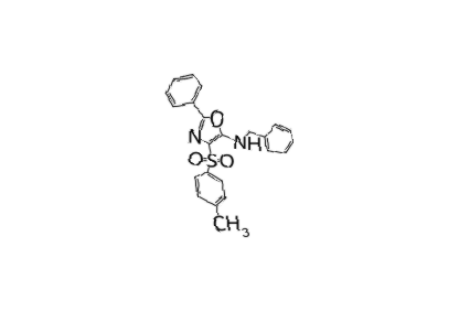 Cc1ccc(S(=O)(=O)c2nc(-c3ccccc3)oc2NCc2ccccc2)cc1